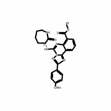 COc1ccc(-c2nc3c4cccc(C(=O)OC(C)C)c4nc(N[C@@H]4CCCCNC4=O)n3n2)cc1